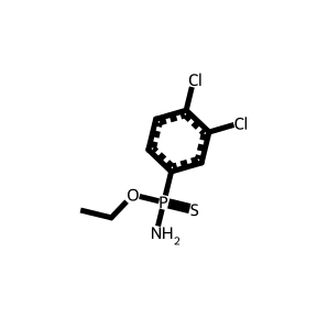 CCOP(N)(=S)c1ccc(Cl)c(Cl)c1